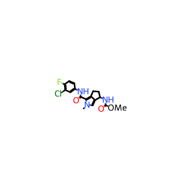 COC(=O)NC1CCc2c1cn(C)c2C(=O)Nc1ccc(F)c(Cl)c1